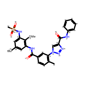 COc1c(NC(=O)c2ccc(C)c(-n3cc(C(=O)Nc4ccccc4)nn3)c2)cc(C(C)(C)C)cc1NS(C)(=O)=O